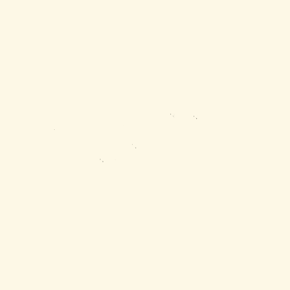 CC(C)CCNC(=S)N1CCC(c2nc(C(=O)Nc3ccccc3-c3ccc(Cl)cc3)cs2)CC1